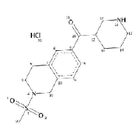 CS(=O)(=O)N1CCc2cc(C(=O)C3CCCNC3)ccc2C1.Cl